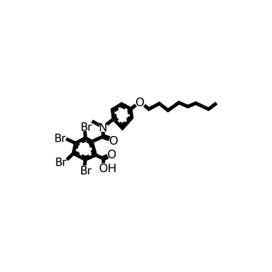 CCCCCCCCOc1ccc(N(C)C(=O)c2c(Br)c(Br)c(Br)c(Br)c2C(=O)O)cc1